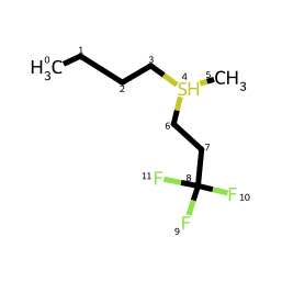 CCCC[SH](C)CCC(F)(F)F